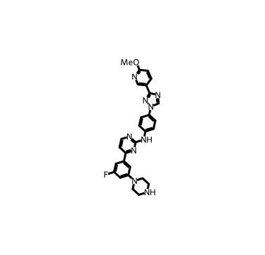 COc1ccc(-c2ncn(-c3ccc(Nc4nccc(-c5cc(F)cc(N6CCNCC6)c5)n4)cc3)n2)cn1